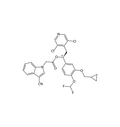 N#Cc1cn(CC(=O)O[C@@H](Cc2c(Cl)cncc2Cl)c2ccc(OC(F)F)c(OCC3CC3)c2)c2ccccc12